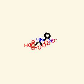 O=C(N[C@@H](CCS(=O)(=O)O)C(=O)O)c1ccccc1[N+](=O)[O-]